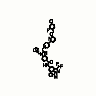 Cc1cc(NC(=O)c2ccc3c(c2)nc(CN2CC=C(c4cccc(OCc5ccc(Cl)cc5F)n4)CC2)n3C[C@@H]2CCO2)cc2c(C(F)F)n[nH]c12